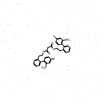 O=C(CC(=O)OCCc1ccccc1-c1ccc(F)cc1[N+](=O)[O-])OCCc1ccccc1-c1ccc(F)cc1[N+](=O)[O-]